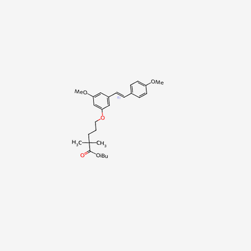 COc1ccc(/C=C/c2cc(OC)cc(OCCCC(C)(C)C(=O)OCC(C)C)c2)cc1